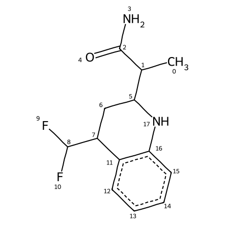 CC(C(N)=O)C1CC(C(F)F)c2ccccc2N1